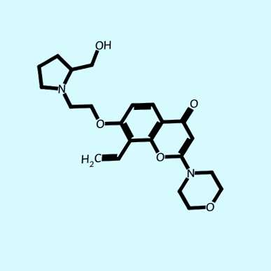 C=Cc1c(OCCN2CCCC2CO)ccc2c(=O)cc(N3CCOCC3)oc12